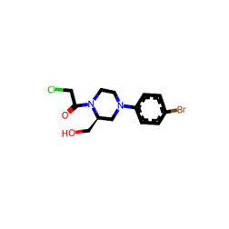 O=C(CCl)N1CCN(c2ccc(Br)cc2)C[C@H]1CO